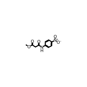 COC(=O)CC(=O)Nc1ccc([N+](=O)[O-])cc1